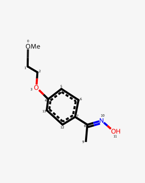 COCCOc1ccc(C(C)=NO)cc1